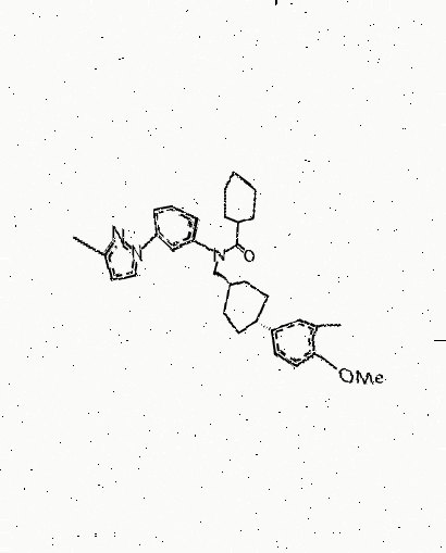 COc1ccc([C@H]2CC[C@H](CN(C(=O)C3CCCCC3)c3cccc(-n4ccc(C)n4)c3)CC2)cc1C